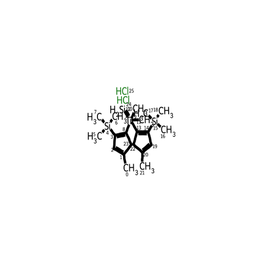 CC1=CC([Si](C)(C)C)=[C]([Ti]([CH3])([CH3])(=[SiH2])[C]2=C([Si](C)(C)C)C=C(C)C2)C1.Cl.Cl